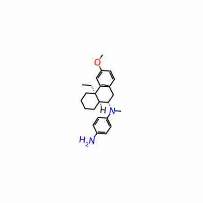 CC[C@@]12CCCC[C@@H]1[C@@H](N(C)c1ccc(N)cc1)Cc1ccc(OC)cc12